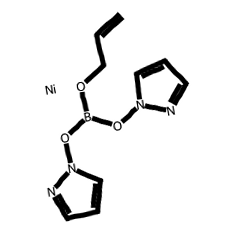 C=CCOB(On1cccn1)On1cccn1.[Ni]